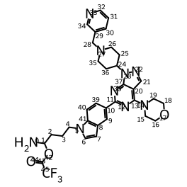 NC(CCCn1ccc2cc(-c3nc(N4CCOCC4)c4cnn(C5CCN(Cc6cccnc6)CC5)c4n3)ccc21)OC(=O)C(F)(F)F